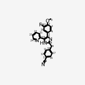 COc1ccc(-c2nc(Cc3ccc(C#N)cc3)[nH]c2-c2ccccn2)cc1F